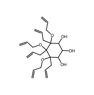 C=CCOC1(CC=C)C(O)C(O)C(O)C(CC=C)(OCC=C)C1(CC=C)OCC=C